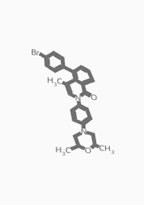 Cc1cn(-c2ccc(N3CC(C)OC(C)C3)cc2)c(=O)c2cccc(-c3ccc(Br)cc3)c12